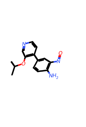 CC(C)Oc1cnccc1-c1ccc(N)c(N=O)c1